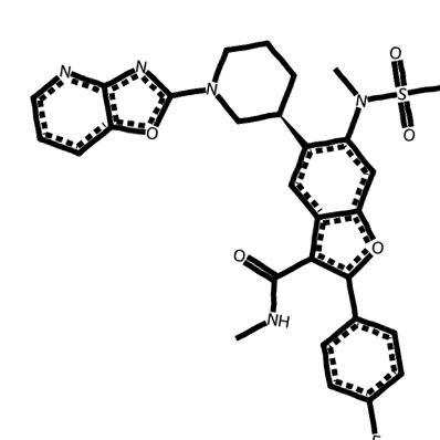 CNC(=O)c1c(-c2ccc(F)cc2)oc2cc(N(C)S(C)(=O)=O)c([C@@H]3CCCN(c4nc5ncccc5o4)C3)cc12